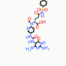 Nc1nc(N)c(NC(=O)Nc2ccc(N(C=O)[C@@H](CCC(=O)NS(=O)(=O)c3ccccc3)C(=O)O)nc2)c(=O)[nH]1